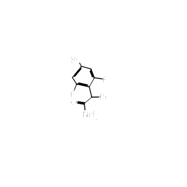 NC(=O)C(Br)c1c(F)cc(Br)cc1F